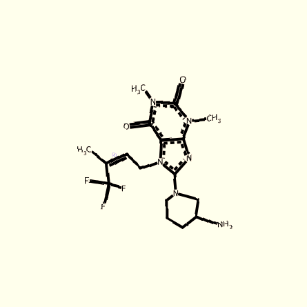 C/C(=C/Cn1c(N2CCCC(N)C2)nc2c1c(=O)n(C)c(=O)n2C)C(F)(F)F